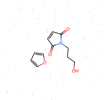 O=C1C=CC(=O)N1CCCO.c1ccoc1